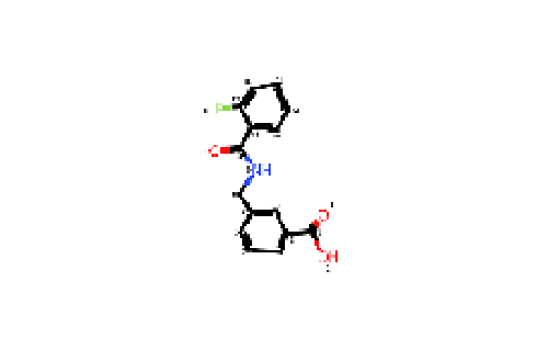 O=C(O)c1cccc(CNC(=O)c2ccccc2F)c1